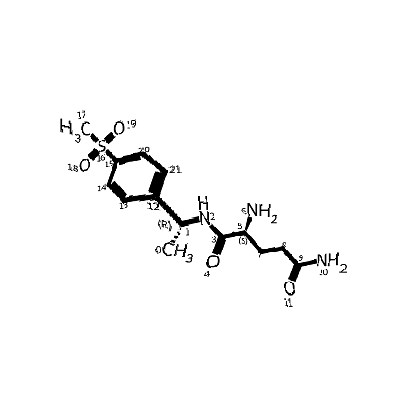 C[C@@H](NC(=O)[C@@H](N)CCC(N)=O)c1ccc(S(C)(=O)=O)cc1